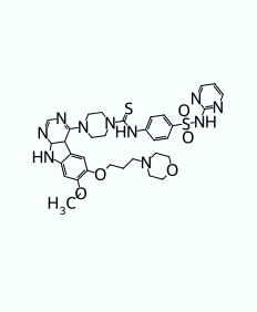 COc1cc2c(cc1OCCCN1CCOCC1)C1C(N3CCN(C(=S)Nc4ccc(S(=O)(=O)Nc5ncccn5)cc4)CC3)=NC=NC1N2